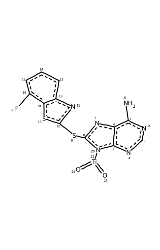 Nc1ncnc2c1nc(Sc1nc3cccc(F)c3s1)[n]2[Ti](=[O])=[O]